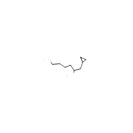 CC(CCCCN)CC1CC1